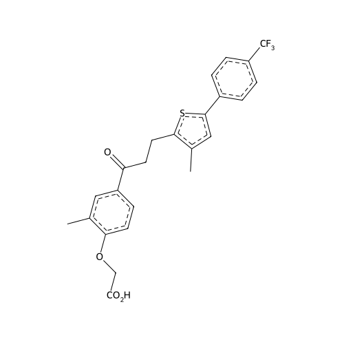 Cc1cc(C(=O)CCc2sc(-c3ccc(C(F)(F)F)cc3)cc2C)ccc1OCC(=O)O